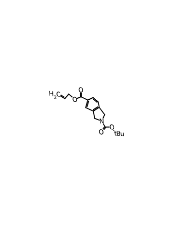 C=CCOC(=O)c1ccc2c(c1)CN(C(=O)OC(C)(C)C)C2